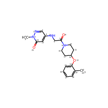 Cn1ncc(NCC(=O)N2CCC(Oc3ccccc3C(F)(F)F)CC2)cc1=O